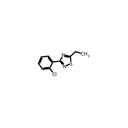 CCc1nc(-c2ccccc2Cl)ns1